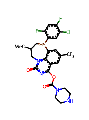 COC1Cn2c(=O)nc(OC(=O)N3CCNCC3)c3cc(C(F)(F)F)cc(c32)[SH](c2cc(Cl)c(F)cc2F)C1